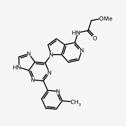 COCC(=O)Nc1nccc2c1ccn2-c1nc(-c2cccc(C)n2)nc2[nH]cnc12